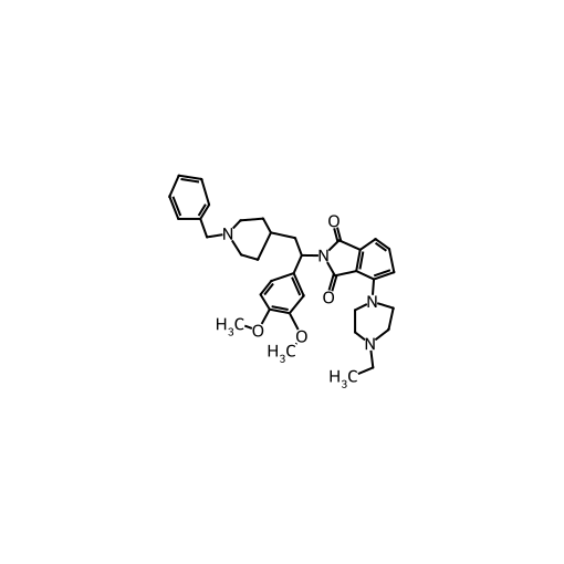 CCN1CCN(c2cccc3c2C(=O)N(C(CC2CCN(Cc4ccccc4)CC2)c2ccc(OC)c(OC)c2)C3=O)CC1